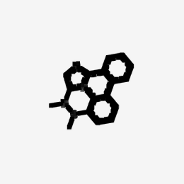 CB1c2cccc3c4ccccc4c4ncc(n4c23)N1C